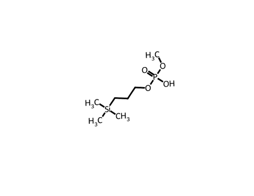 COP(=O)(O)OCCC[Si](C)(C)C